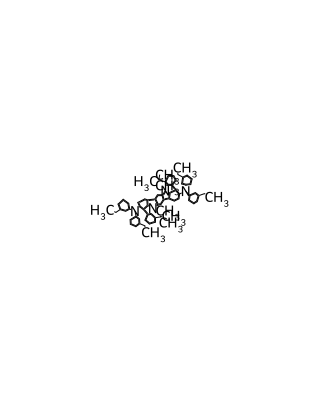 CCc1cccc(N(c2cccc(CC)c2)c2ccc3c4cc5c(cc4n4c6c(C(C)(C)C)cccc6c2c34)c2ccc(N(c3cccc(CC)c3)c3cccc(CC)c3)c3c4cccc(C(C)(C)C)c4n5c23)c1